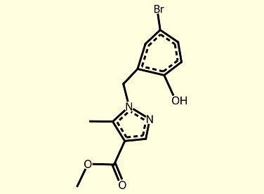 COC(=O)c1cnn(Cc2cc(Br)ccc2O)c1C